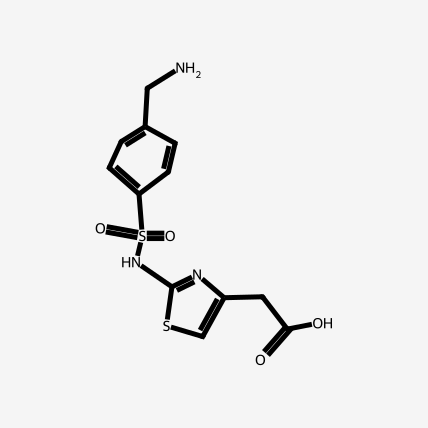 NCc1ccc(S(=O)(=O)Nc2nc(CC(=O)O)cs2)cc1